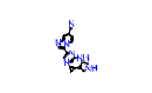 N#Cc1ccn2c(-c3cncc(N[C@H]4CNC[C@H]4C4CC4)n3)cnc2c1